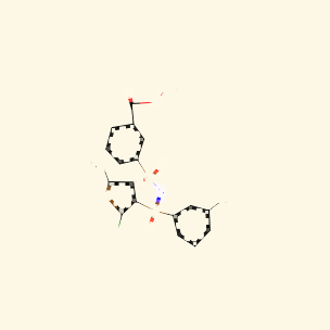 Bc1cccc(S(=O)(=NS(=O)(=O)c2cccc(C(=O)OC(C)(C)C)c2)c2cc(C#N)sc2Cl)c1